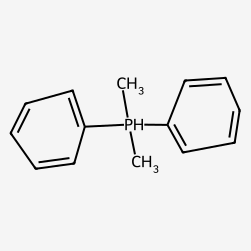 C[PH](C)(c1ccccc1)c1ccccc1